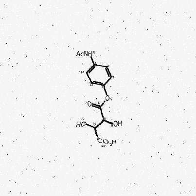 CC(=O)Nc1ccc(OC(=O)C(O)C(O)C(=O)O)cc1